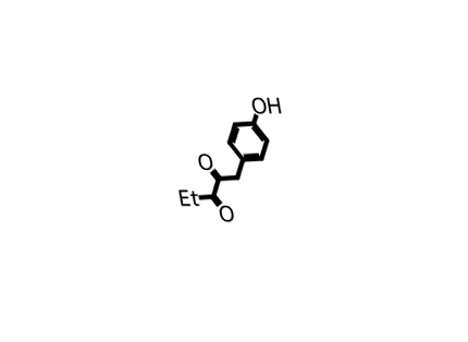 CCC(=O)C(=O)Cc1ccc(O)cc1